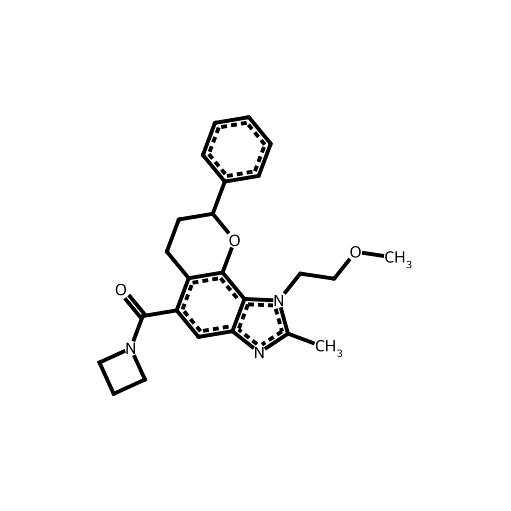 COCCn1c(C)nc2cc(C(=O)N3CCC3)c3c(c21)OC(c1ccccc1)CC3